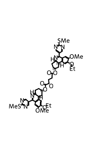 CCOc1cc2c(cc1OC)C(c1cnc(SC)nc1)=N[C@@H]1CC[C@@H](OC(=O)CCC(=O)C(=O)O[C@@H]3CC[C@H]4N=C(c5cnc(SC)nc5)c5cc(OC)c(OCC)cc5[C@H]4C3)C[C@H]21